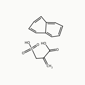 C=C(CS(=O)(=O)O)C(=O)O.c1ccc2ccccc2c1